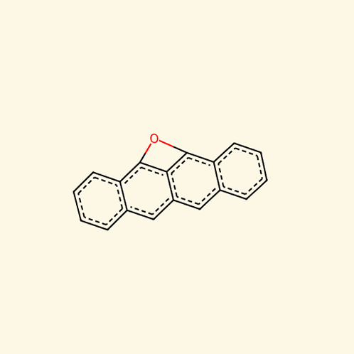 c1ccc2c3c4c(c5ccccc5cc4cc2c1)O3